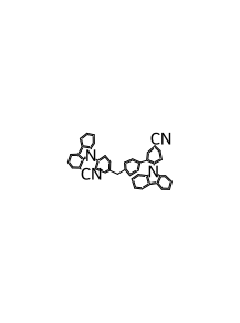 N#Cc1ccc(-n2c3ccccc3c3ccccc32)c(-c2ccc(Cc3ccc(-n4c5ccccc5c5cccc(C#N)c54)cc3)cc2)c1